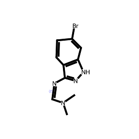 CN(C)/C=N\c1n[nH]c2cc(Br)ccc12